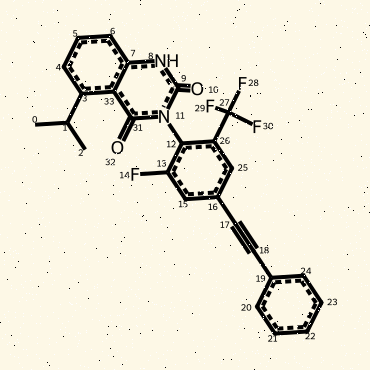 CC(C)c1cccc2[nH]c(=O)n(-c3c(F)cc(C#Cc4ccccc4)cc3C(F)(F)F)c(=O)c12